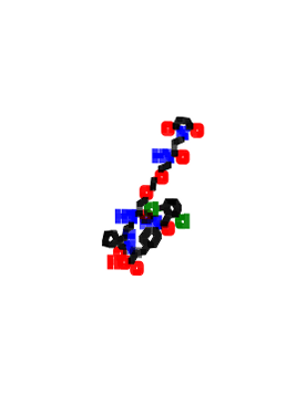 O=C(CCOCCOCCNC(=O)CCN1C(=O)C=CC1=O)NCCCC1(C(=O)N[C@@H](Cc2ccc(NC(=O)c3c(Cl)cccc3Cl)cc2)C(=O)O)CCCC1